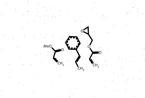 C=CC(=O)OC.C=CC(=O)OCC1CO1.CC=Cc1ccccc1